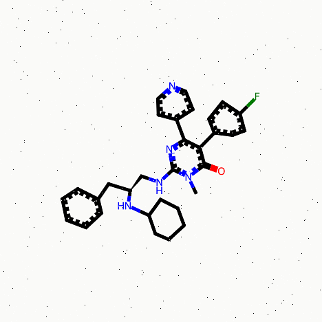 Cn1c(NC[C@H](Cc2ccccc2)NC2CCCCC2)nc(-c2ccncc2)c(-c2ccc(F)cc2)c1=O